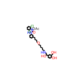 CC(=O)ON(C(=O)Nc1cccc(CCCCOCCCCCCNC[C@@H](O)c2ccc(O)c(CO)c2)c1)c1c(Cl)cccc1Cl